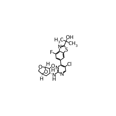 CC(C)(O)c1nc2c(F)cc(-c3nc(N[C@@H]4C[C@H]5CO[C@H](O5)[C@H]4O)ncc3Cl)cc2s1